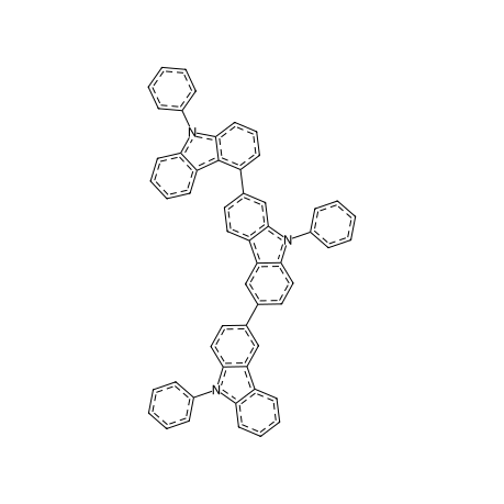 c1ccc(-n2c3ccccc3c3cc(-c4ccc5c(c4)c4ccc(-c6cccc7c6c6ccccc6n7-c6ccccc6)cc4n5-c4ccccc4)ccc32)cc1